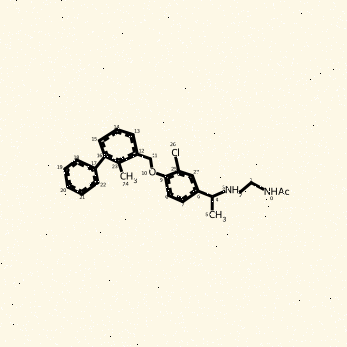 CC(=O)NCCNC(C)c1ccc(OCc2cccc(-c3ccccc3)c2C)c(Cl)c1